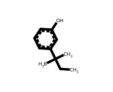 BC(C)(CC)c1cccc(O)c1